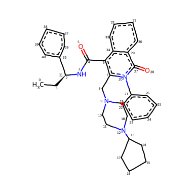 CC[C@H](NC(=O)c1c(CN2CCN(C3CCCC3)CC2)n(-c2ccccc2)c(=O)c2ccccc12)c1ccccc1